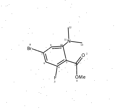 COC(=O)c1c(F)cc(Br)cc1N(C)C